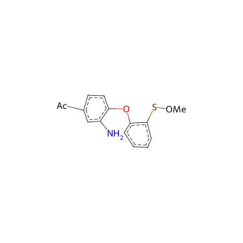 COSc1ccccc1Oc1ccc(C(C)=O)cc1N